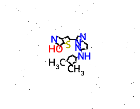 Cc1ccc(Nc2ccc3ncc(-c4cc5cncc(O)c5s4)n3n2)cc1C